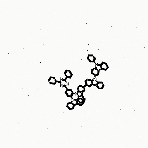 c1ccc(-c2nc(-c3ccccc3)nc(-c3ccc(-n4c5ccccc5c5ccccc54)c(-n4c5ccccc5c5cc(-c6ccc7c(c6)c6ccccc6n7-c6ccc7c(c6)c6ccccc6n7-c6ccccc6)ccc54)c3)n2)cc1